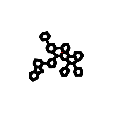 c1ccc(-c2ccc(N(c3cccc(-c4cccc5c4oc4ccccc45)c3)c3ccc4c(c3)c(-c3ccccc3)c(-c3ccccc3)c3ccccc34)c(-c3ccccc3)c2)cc1